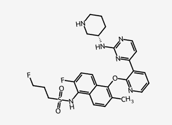 Cc1ccc2c(NS(=O)(=O)CCCF)c(F)ccc2c1Oc1ncccc1-c1ccnc(N[C@H]2CCCNC2)n1